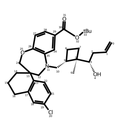 C=CC[C@H](O)[C@]1(C)CC[C@H]1CN1CC2(CCCc3cc(Cl)ccc32)COc2ccc(C(=O)OC(C)(C)C)cc21